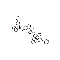 Cc1cccc(C)c1N(c1ccc2cc3c(cc2c1)oc1c3ccc2oc3cc4cc(N(c5ccc(-c6ccccc6)cc5-c5ccccc5)c5c(C)cccc5C)ccc4cc3c21)c1ccc(-c2ccccc2)cc1-c1ccccc1